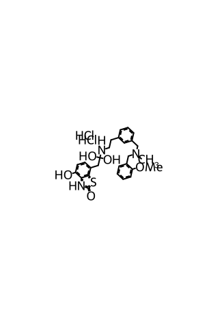 COc1ccccc1CN(C)Cc1cccc(CCNC(O)(O)Cc2ccc(O)c3[nH]c(=O)sc23)c1.Cl.Cl